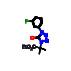 CCOC(=O)C(C)(C)n1nnn(-c2cccc(F)c2)c1=O